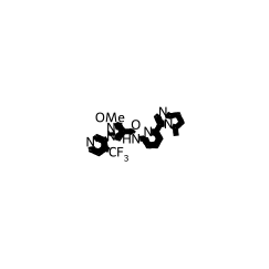 COc1nn(-c2cnccc2C(F)(F)F)cc1C(=O)Nc1cccc(-c2cnc3n2C(C)CC3)n1